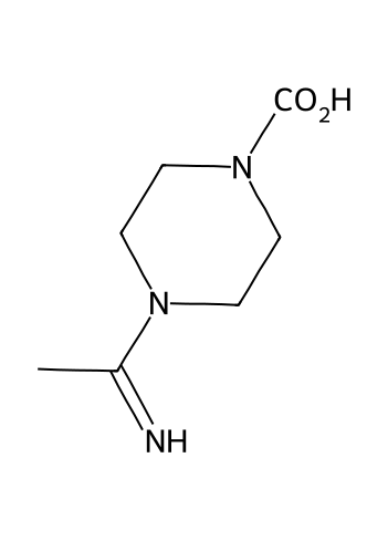 CC(=N)N1CCN(C(=O)O)CC1